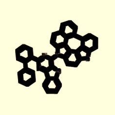 c1ccc(-c2ccccc2-c2nc(-n3c4ccc5cccc6c5c4c4c5c(ccc43)sc3cccc-6c35)c3oc4ccccc4c3n2)cc1